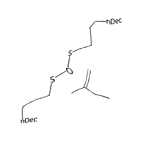 C=C(C)C.CCCCCCCCCCCCSOSCCCCCCCCCCCC